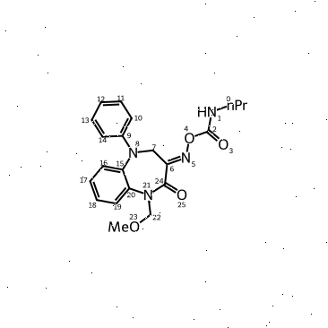 CCCNC(=O)O/N=C1\CN(c2ccccc2)c2ccccc2N(COC)C1=O